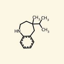 CC(C)C1(C)CCNc2ccccc2C1